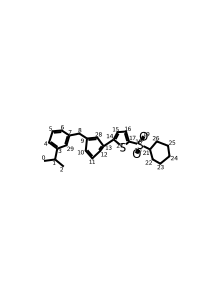 CC(C)c1cccc(Cc2cccc(-c3ccc(S(=O)(=O)C4CCCCC4)s3)c2)c1